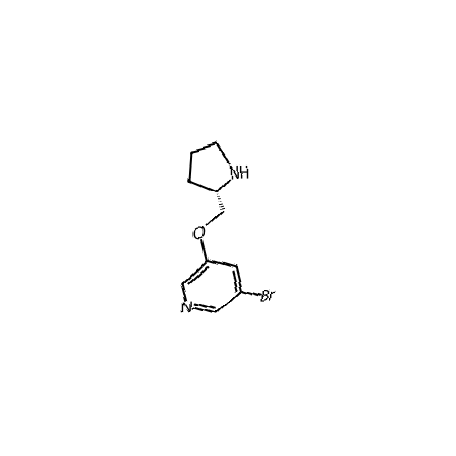 Brc1cncc(OC[C@@H]2CCCN2)c1